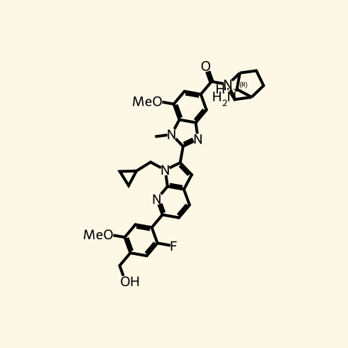 COc1cc(-c2ccc3cc(-c4nc5cc(C(=O)N6CC7CCC6[C@@H]7N)cc(OC)c5n4C)n(CC4CC4)c3n2)c(F)cc1CO